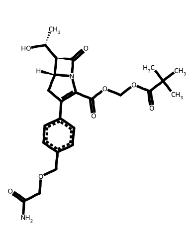 C[C@@H](O)[C@H]1C(=O)N2C(C(=O)OCOC(=O)C(C)(C)C)=C(c3ccc(COCC(N)=O)cc3)C[C@H]12